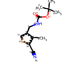 Cc1c(CNC(=O)OC(C)(C)C)csc1C#N